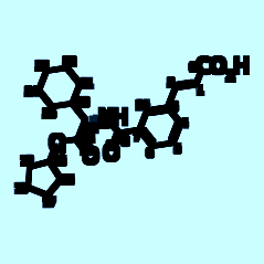 O=C(O)C=Cc1cccc(C(=O)N[C@H](C(=O)OC2CCCC2)C2CCCCC2)c1